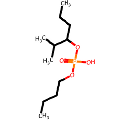 CCCCOP(=O)(O)OC(CCC)C(C)C